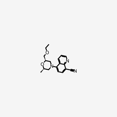 CCOC[C@H]1CN(c2ccc(C#N)c3ncccc23)C[C@@H](C)O1